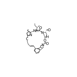 CC[C@@H](C)[C@@H]1Nc2nc(cs2)CCC/C=C/c2cccc3c2CN(C3)C(=O)O[C@@H]2C[C@@H](C=O)N(C2)C1=O